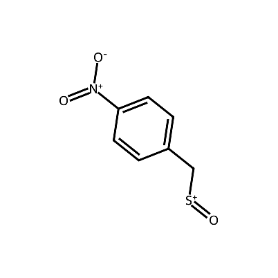 O=[S+]Cc1ccc([N+](=O)[O-])cc1